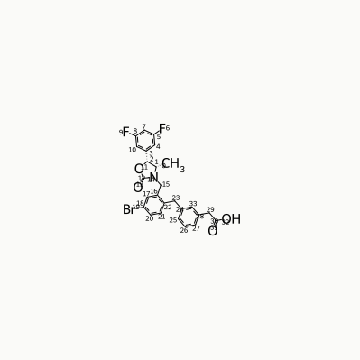 C[C@H]1[C@@H](c2cc(F)cc(F)c2)OC(=O)N1Cc1cc(Br)ccc1Cc1cccc(CC(=O)O)c1